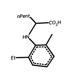 CCCCCC(Nc1c(C)cccc1CC)C(=O)O